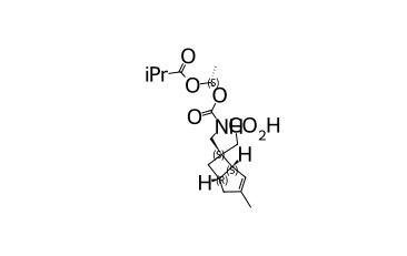 CC1=C[C@@H]2[C@H](C1)C[C@]2(CNC(=O)O[C@@H](C)OC(=O)C(C)C)CC(=O)O